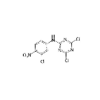 O=[N+]([O-])c1ccc(Nc2nc(Cl)nc(Cl)n2)cc1Cl